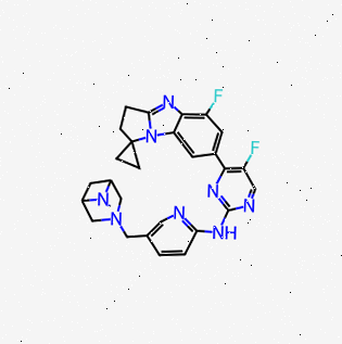 CN1C2CC1CN(Cc1ccc(Nc3ncc(F)c(-c4cc(F)c5nc6n(c5c4)C4(CC6)CC4)n3)nc1)C2